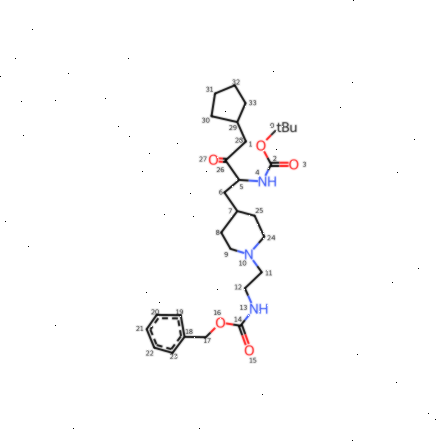 CC(C)(C)OC(=O)NC(CC1CCN(CCNC(=O)OCc2ccccc2)CC1)C(=O)CC1CCCC1